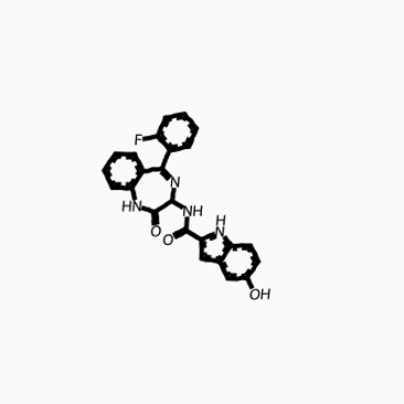 O=C(NC1N=C(c2ccccc2F)c2ccccc2NC1=O)c1cc2cc(O)ccc2[nH]1